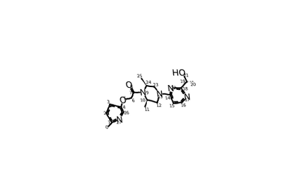 Cc1ccc(OCC(=O)N2[C@H](C)CN(c3ccnc([C@@H](C)O)n3)C[C@@H]2C)cn1